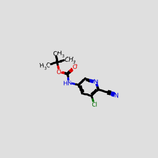 CC(C)(C)OC(=O)Nc1cnc(C#N)c(Cl)c1